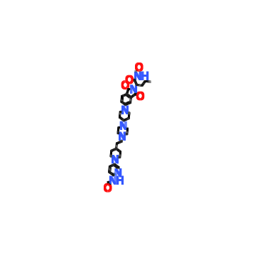 CCCC(C(=O)NC=O)N1C(=O)c2ccc(N3CCC(N4CCN(CCC5CCN(c6ccc(NC=O)nc6)CC5)CC4)CC3)cc2C1=O